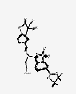 CCC1(CC)C(=O)Nc2ccc(/C=N/N(CCOC)C3=NS(=O)(=O)c4cc(B5OC(C)(C)C(C)(C)O5)ccc43)cc21